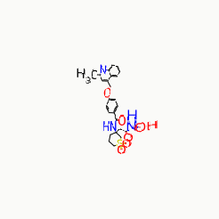 Cc1cc(COc2ccc(C(=O)NC3(CC(=O)NO)CCCS(=O)(=O)C3)cc2)c2ccccc2n1